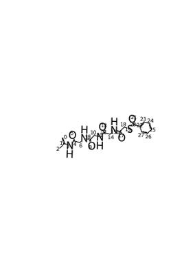 C=C(C)NC(=O)CNC(=O)CNC(=O)CNC(=O)CSC(=O)c1ccccc1